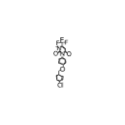 Cn1c(C(F)(F)F)cc(=O)n(-c2ccc(OCc3ccc(Cl)cc3)cc2)c1=O